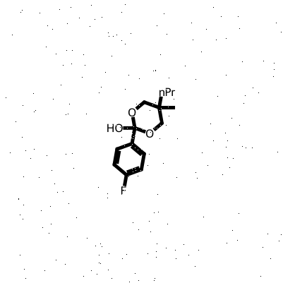 CCCC1(C)COC(O)(c2ccc(F)cc2)OC1